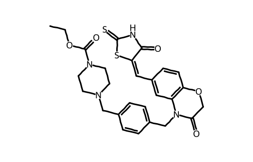 CCOC(=O)N1CCN(Cc2ccc(CN3C(=O)COc4ccc(C=C5SC(=S)NC5=O)cc43)cc2)CC1